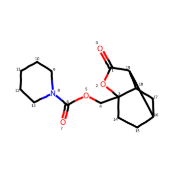 O=C1OC2(COC(=O)N3CCCCC3)CCC3CC2C13